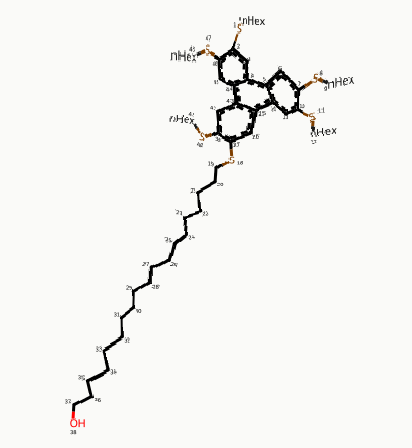 CCCCCCSc1cc2c3cc(SCCCCCC)c(SCCCCCC)cc3c3cc(SCCCCCCCCCCCCCCCCCCCO)c(SCCCCCC)cc3c2cc1SCCCCCC